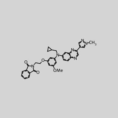 COc1cc(OCCN2C(=O)c3ccccc3C2=O)cc(N(CC2CC2)c2ccc3ncc(-c4cnn(C)c4)nc3c2)c1